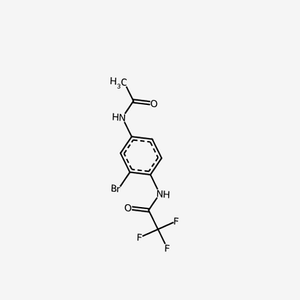 CC(=O)Nc1ccc(NC(=O)C(F)(F)F)c(Br)c1